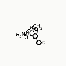 CS(=O)(=O)NC1CCN(C(N)=O)C1Cc1cccc(-c2cccc(F)c2)c1